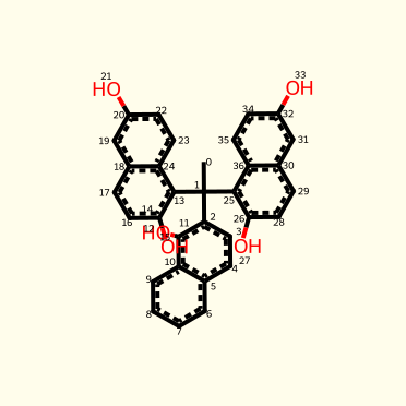 CC(c1ccc2ccccc2c1O)(c1c(O)ccc2cc(O)ccc12)c1c(O)ccc2cc(O)ccc12